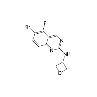 Fc1c(Br)ccc2nc(NC3COC3)ncc12